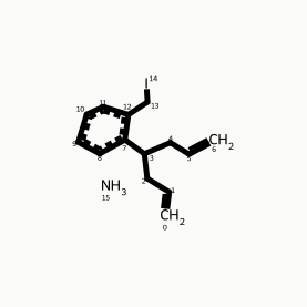 C=CCC(CC=C)c1ccccc1CI.N